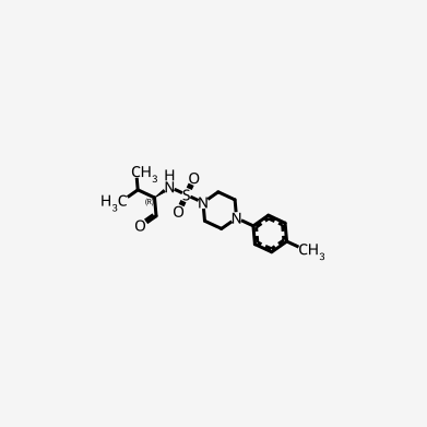 Cc1ccc(N2CCN(S(=O)(=O)N[C@@H](C=O)C(C)C)CC2)cc1